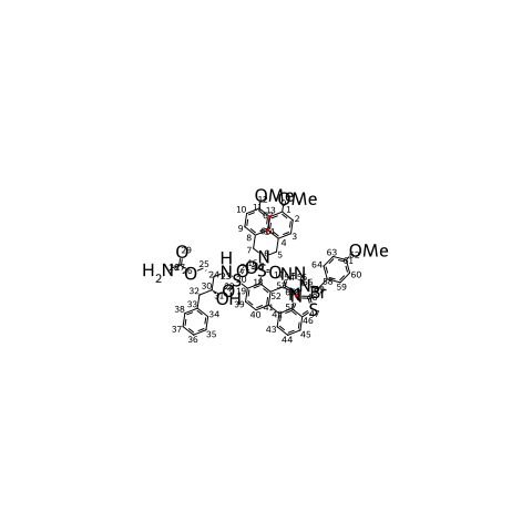 COc1ccc(CN(Cc2ccc(OC)cc2)S(=O)(=O)c2c(S(=O)(=O)N[C@@H](COC(N)=O)[C@@H](O)Cc3ccccc3)ccc(-c3cccc4sc(Br)nc34)c2-c2nnn(Cc3ccc(OC)cc3)n2)cc1